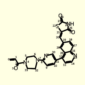 C=CC(=O)N1CCN(c2ccc(-c3ccnc4ccc(/C=C5/SC(=O)NC5=O)cc34)cn2)CC1